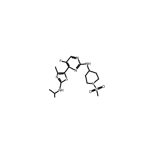 Cc1nc(NC(C)C)sc1-c1nc(NC2CCN(S(C)(=O)=O)CC2)ncc1F